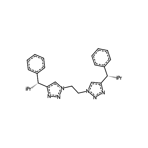 CC(C)[C@H](c1ccccc1)c1cn(CCn2cc([C@H](c3ccccc3)C(C)C)nn2)nn1